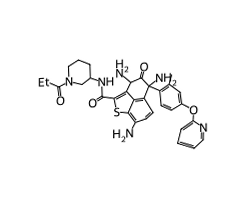 CCC(=O)N1CCCC(NC(=O)c2sc3c(N)ccc4c3c2C(N)C(=O)C4(N)c2ccc(Oc3ccccn3)cc2C)C1